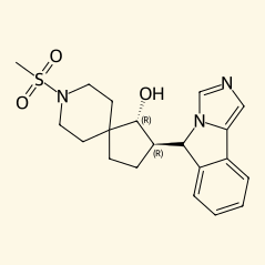 CS(=O)(=O)N1CCC2(CC[C@H](C3c4ccccc4-c4cncn43)[C@H]2O)CC1